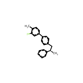 Cc1ccc(-c2ccc(C[C@@H](C)c3ccccc3)cc2)cc1F